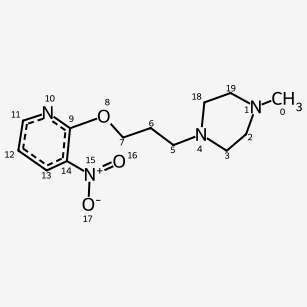 CN1CCN(CCCOc2ncccc2[N+](=O)[O-])CC1